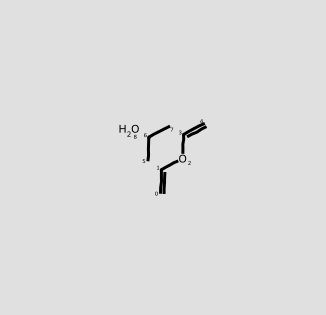 C=COC=C.CCC.O